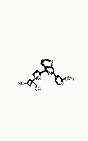 N#CC[C@]1(n2ccc(-c3nc(-c4ccnc(N)c4)cc4ncccc34)n2)C[C@H](C#N)C1